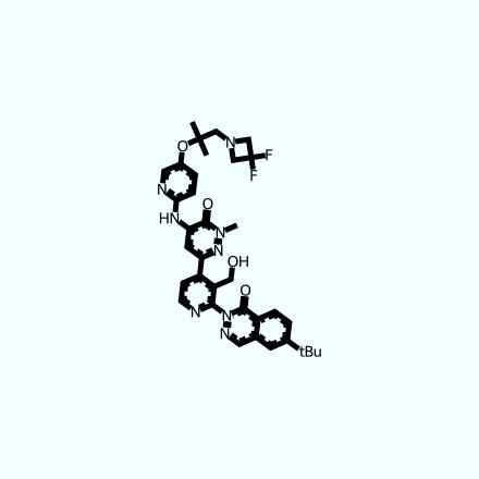 Cn1nc(-c2ccnc(-n3ncc4cc(C(C)(C)C)ccc4c3=O)c2CO)cc(Nc2ccc(OC(C)(C)CN3CC(F)(F)C3)cn2)c1=O